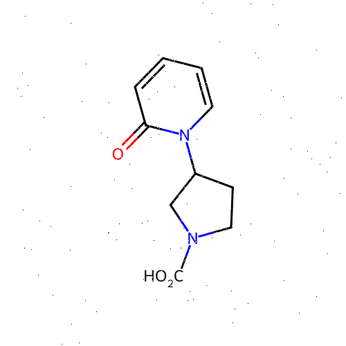 O=C(O)N1CCC(n2ccccc2=O)C1